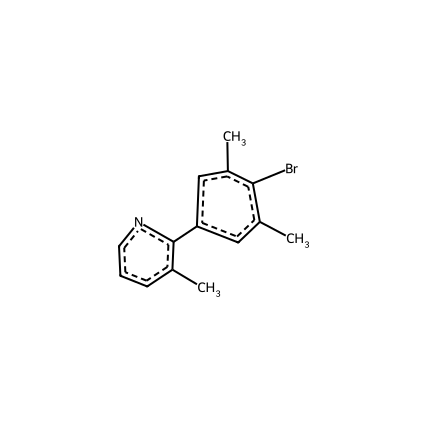 Cc1cccnc1-c1cc(C)c(Br)c(C)c1